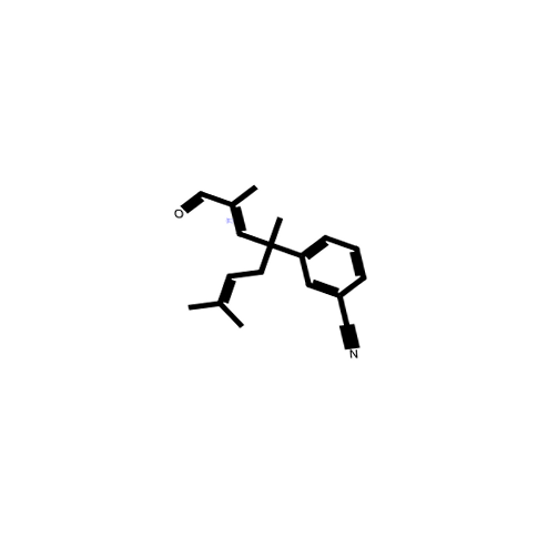 CC(C)=CCC(C)(/C=C(\C)C=O)c1cccc(C#N)c1